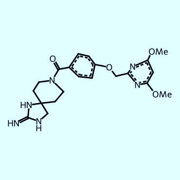 COc1cc(OC)nc(COc2ccc(C(=O)N3CCC4(CC3)CNC(=N)N4)cc2)n1